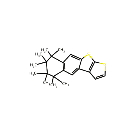 CC1(C)c2cc3sc4sccc4c3cc2C(C)(C)C(C)(C)C1(C)C